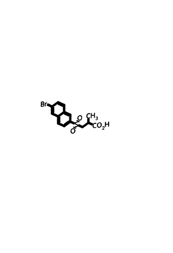 CC(CS(=O)(=O)c1ccc2cc(Br)ccc2c1)C(=O)O